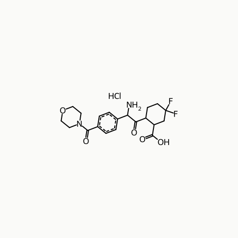 Cl.NC(C(=O)C1CCC(F)(F)CC1C(=O)O)c1ccc(C(=O)N2CCOCC2)cc1